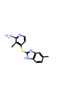 Cc1ccc2[nH]c(Sc3ccnc(N)c3C)nc2c1